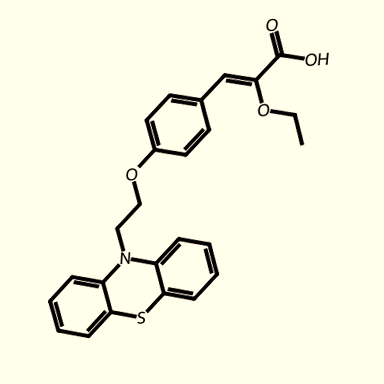 CCOC(=Cc1ccc(OCCN2c3ccccc3Sc3ccccc32)cc1)C(=O)O